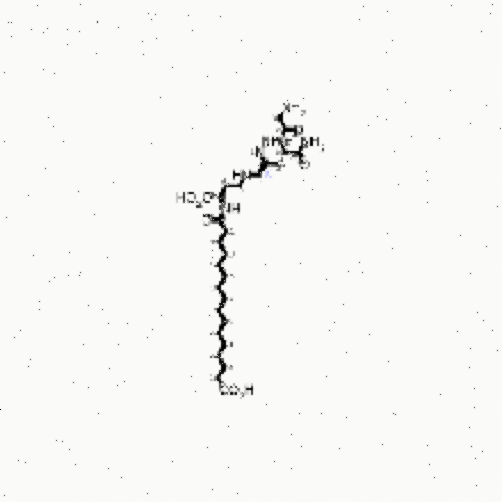 N=N/C(=C\NCC[C@H](NC(=O)CCCCCCCCCCCCCCC(=O)O)C(=O)O)C[C@H](NC(=O)CN)C(N)=O